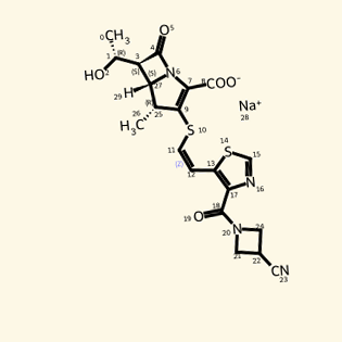 C[C@@H](O)[C@H]1C(=O)N2C(C(=O)[O-])=C(S/C=C\c3scnc3C(=O)N3CC(C#N)C3)[C@H](C)[C@H]12.[Na+]